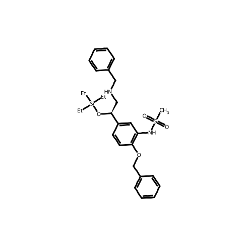 CC[Si](CC)(CC)O[C@@H](CNCc1ccccc1)c1ccc(OCc2ccccc2)c(NS(C)(=O)=O)c1